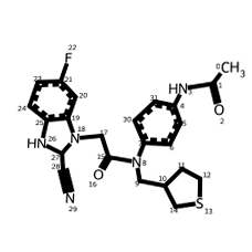 CC(=O)Nc1ccc(N(CC2CCSC2)C(=O)CN2c3cc(F)ccc3NC2C#N)cc1